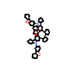 c1ccc2c(c1)-c1ccccc1-c1cc3c4ccccc4n(-c4ccc5oc6ccccc6c5c4)c3cc1C1(c3cc4c5ccccc5n(-c5ccc6oc7ccccc7c6c5)c4cc3-2)c2ccccc2-c2ccccc21